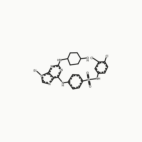 CCn1cnc2c(Nc3ccc(S(=O)(=O)Nc4ccc(Cl)c(Cl)c4)cc3)nc(NC3CCC(O)CC3)nc21